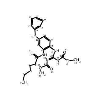 CCCCCC(=O)Nc1cc(Sc2ccccc2)ccc1NC(=NC(=O)OC)NC(=O)OC